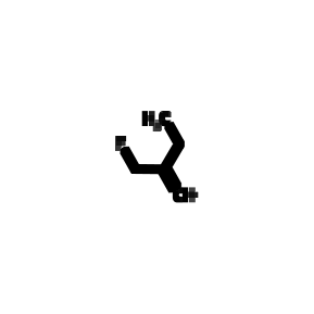 [CH]=C(CC)CF